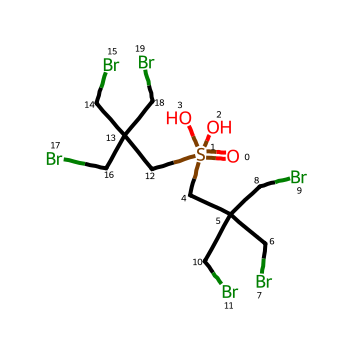 O=S(O)(O)(CC(CBr)(CBr)CBr)CC(CBr)(CBr)CBr